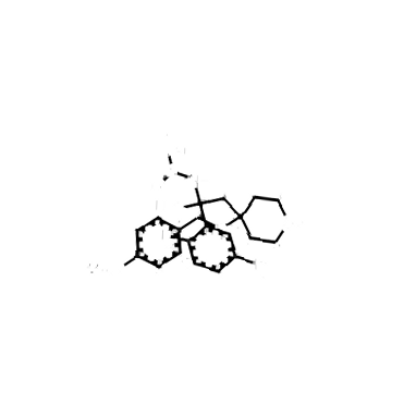 COc1ccc(CSC2(CC(C)(N[S+]([O-])C(C)(C)C)c3cc(Br)ccc3F)CCOCC2)cc1